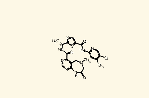 C[C@@H](NC(=O)c1ncnc2c1CN(C)CC(=O)N2)c1ncc(C(=O)Nc2cc(C(F)(F)F)c(Cl)cn2)s1